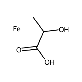 CC(O)C(=O)O.[Fe]